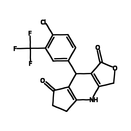 O=C1CCC2=C1C(c1ccc(Cl)c(C(F)(F)F)c1)C1=C(COC1=O)N2